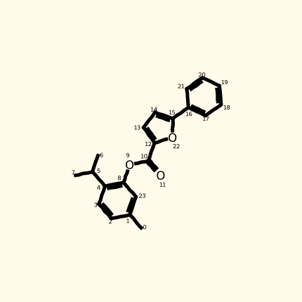 Cc1ccc(C(C)C)c(OC(=O)c2ccc(-c3ccccc3)o2)c1